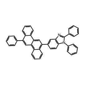 c1ccc(-c2cc3c4ccccc4c(-c4ccc5c(c4)nc(-c4ccccc4)n5-c4ccccc4)cc3c3ccccc23)cc1